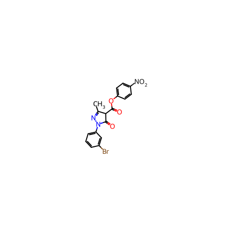 CC1=NN(c2cccc(Br)c2)C(=O)C1C(=O)Oc1ccc([N+](=O)[O-])cc1